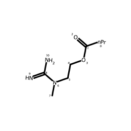 CCCC(=O)OCCN(C)C(=N)N